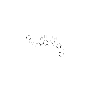 COc1cc(NC(=O)Nc2ccc(Oc3ccccc3)cc2)ccc1C(=O)NC1CCN(Cc2ccccc2)C1